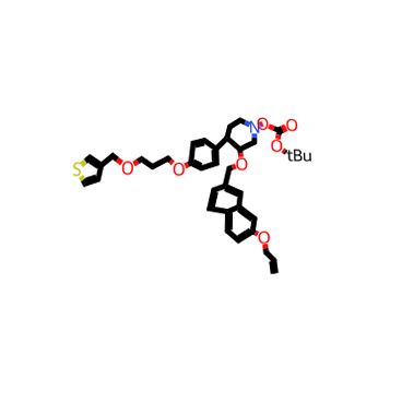 C=CCOc1ccc2ccc(COC3CN(OC(=O)OC(C)(C)C)CCC3c3ccc(OCCCOCc4ccsc4)cc3)cc2c1